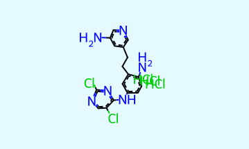 Cl.Cl.Cl.Nc1cncc(CCc2cc(Nc3nc(Cl)ncc3Cl)ccc2N)c1